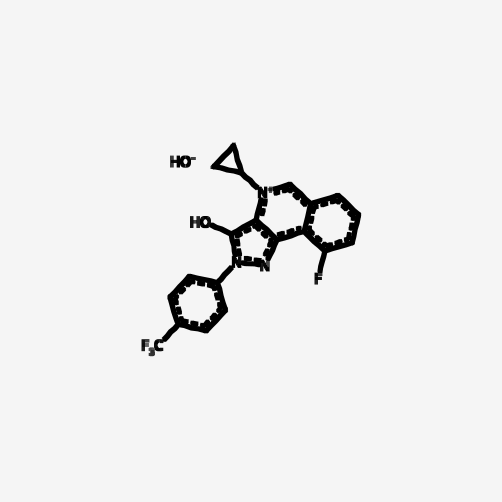 Oc1c2c(nn1-c1ccc(C(F)(F)F)cc1)c1c(F)cccc1c[n+]2C1CC1.[OH-]